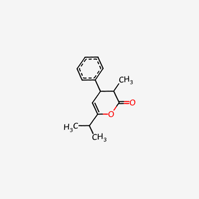 CC(C)C1=CC(c2ccccc2)C(C)C(=O)O1